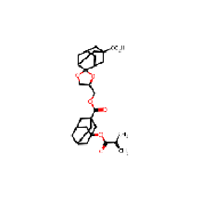 C=C(C)C(=O)OC12CC3CC(C1)CC(C(=O)OCC1COC4(O1)C1CC5CC4CC(C(=O)O)(C5)C1)(C3)C2